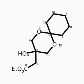 CCOC(=O)CC1(O)COC2(CCCCC2)OC1